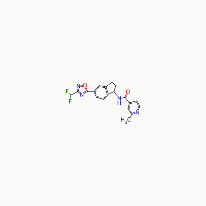 Cc1cc(C(=O)NC2CCc3cc(-c4nc(C(F)F)no4)ccc32)ccn1